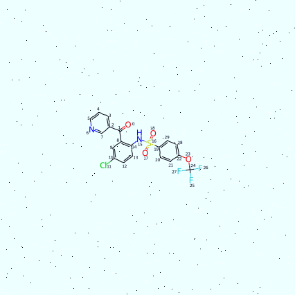 O=C(c1cccnc1)c1cc(Cl)ccc1NS(=O)(=O)c1ccc(OC(F)(F)F)cc1